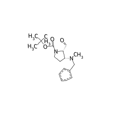 CN(Cc1ccccc1)[C@@H]1CCN(C(=O)OC(C)(C)C)[C@@H]1C=O